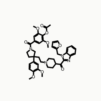 COc1ccc(C2(CCN3CCC(C(=O)c4nc5ccccc5n4Cc4ccco4)CC3)CCN(C(=O)c3cc(OC)c(OC(C)=O)c(OC)c3)C2)cc1OC